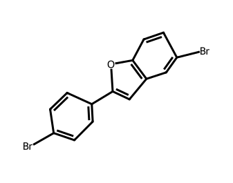 Brc1ccc(-c2cc3cc(Br)ccc3o2)cc1